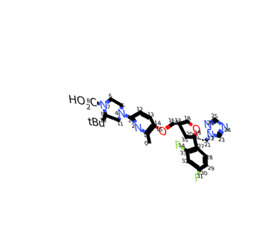 Cc1nc(N2CCN(C(=O)O)C(C(C)(C)C)C2)ccc1OC[C@H]1CO[C@@](Cn2cncn2)(c2ccc(F)cc2F)C1